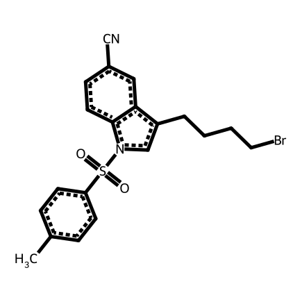 Cc1ccc(S(=O)(=O)n2cc(CCCCBr)c3cc(C#N)ccc32)cc1